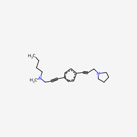 CCCCN(C)CC#Cc1ccc(C#CCN2CCCC2)cc1